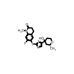 C[C@@H]1CC(O)(c2cnc(Sc3cc4c(cc3F)N(C)C(=O)CC4)s2)CCO1